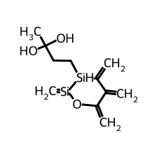 C=C1O[Si](=C)[SiH](CCC(C)(O)O)C(=C)C1=C